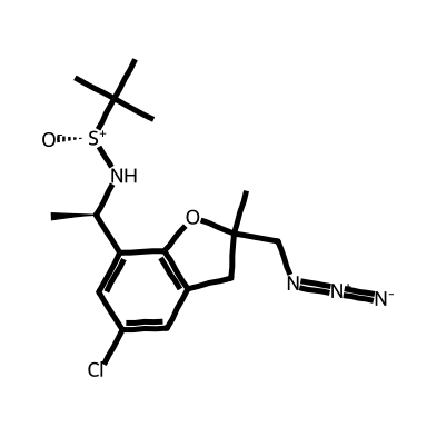 C[C@@H](N[S@+]([O-])C(C)(C)C)c1cc(Cl)cc2c1OC(C)(CN=[N+]=[N-])C2